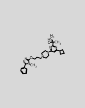 Cn1c(OCCCN2CCN(c3cc(C4CCC4)nc(C(C)(C)C)n3)CC2)nnc1-c1ccccc1